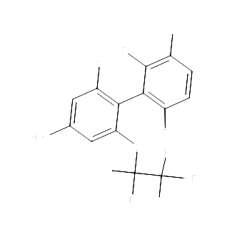 Cc1[c]c(C)c(-c2c(F)ccc(F)c2F)c(SC(F)(F)C(F)(F)C(F)(F)F)c1